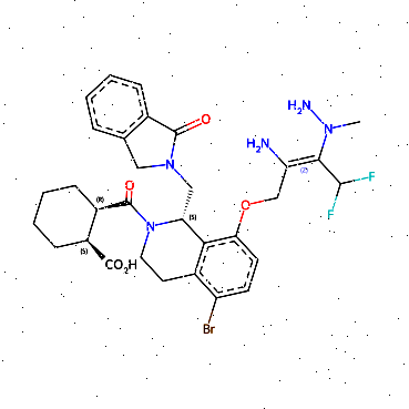 CN(N)/C(=C(\N)COc1ccc(Br)c2c1[C@@H](CN1Cc3ccccc3C1=O)N(C(=O)[C@@H]1CCCC[C@@H]1C(=O)O)CC2)C(F)F